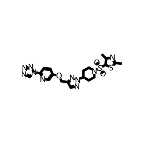 CC1=NC(C)C(S(=O)(=O)N2CCC(n3ncc(COc4ccc(-n5cnnn5)nc4)n3)CC2)S1